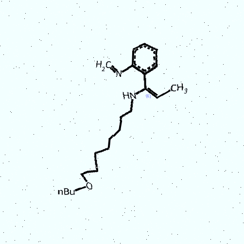 C=Nc1ccccc1/C(=C\C)NCCCCCCCCOCCCC